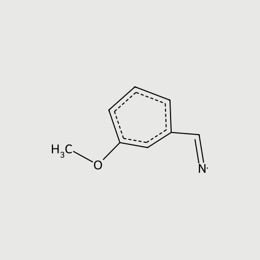 COc1cccc(C=[N])c1